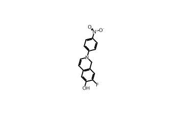 O=[N+]([O-])c1ccc(N2C=Cc3cc(O)c(F)cc3C2)cc1